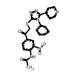 CC(=O)Nc1ccc(C(=O)CSc2nnc(-c3ccncc3)n2-c2ccccc2)cc1[N+](=O)[O-]